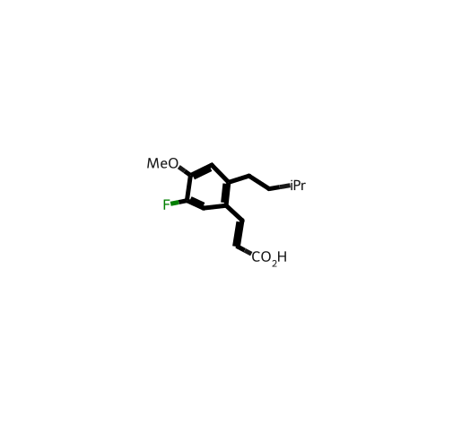 COc1cc(CCC(C)C)c(C=CC(=O)O)cc1F